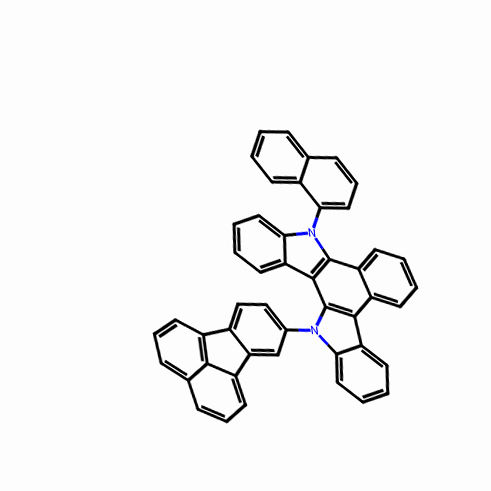 c1ccc2c(-n3c4ccccc4c4c3c3ccccc3c3c5ccccc5n(-c5ccc6c(c5)-c5cccc7cccc-6c57)c34)cccc2c1